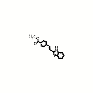 COC(=O)c1ccc(/C=C/c2nc3ccccc3[nH]2)cc1